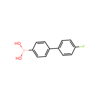 OB(O)c1ccc(-c2ccc(F)cc2)cc1